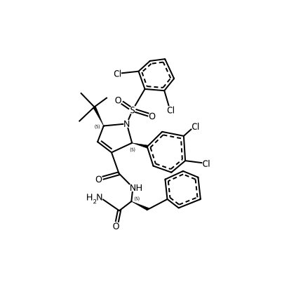 CC(C)(C)[C@@H]1C=C(C(=O)N[C@@H](Cc2ccccc2)C(N)=O)[C@H](c2ccc(Cl)c(Cl)c2)N1S(=O)(=O)c1c(Cl)cccc1Cl